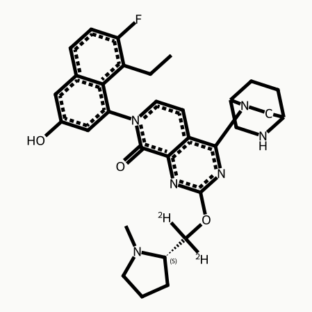 [2H]C([2H])(Oc1nc(N2CC3CCC2CN3)c2ccn(-c3cc(O)cc4ccc(F)c(CC)c34)c(=O)c2n1)[C@@H]1CCCN1C